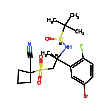 CC(C)(C)[S@@+]([O-])N[C@@](C)(CS(=O)(=O)C1(C#N)CCC1)c1cc(Br)ccc1F